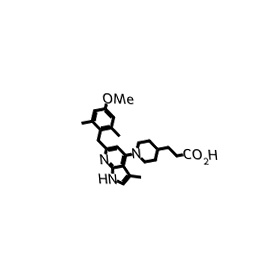 COc1cc(C)c(Cc2cc(N3CCC(CCC(=O)O)CC3)c3c(C)c[nH]c3n2)c(C)c1